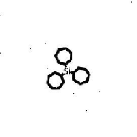 C1CCCC([Si](C2CCCCCC2)C2CCCCCC2)CC1